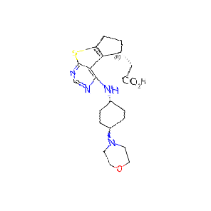 O=C(O)C[C@H]1CCc2sc3ncnc(N[C@H]4CC[C@H](N5CCOCC5)CC4)c3c21